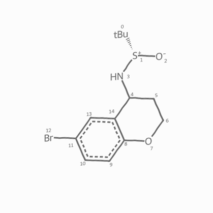 CC(C)(C)[S@+]([O-])NC1CCOc2ccc(Br)cc21